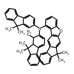 CC1C(N(c2ccc3c(c2)C(C)(C)c2ccccc2-3)c2cccc3oc4cc5c(cc4c23)-c2ccccc2C5(C)C)=CC=C2c3ccccc3C(C)(C)C21